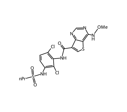 CCCS(=O)(=O)Nc1ccc(Cl)c(NC(=O)c2csc3c(NOC)ncnc23)c1Cl